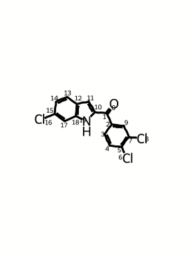 O=C(c1ccc(Cl)c(Cl)c1)c1cc2ccc(Cl)cc2[nH]1